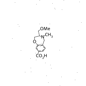 COCC1COc2cc(C(=O)O)ccc2CN1C